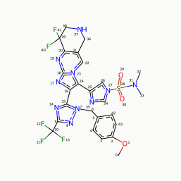 COc1ccc(Cn2nc(C(F)(F)F)nc2-c2nc3nc4c(cn3c2-c2cn(S(=O)(=O)N(C)C)cn2)CNCC4(F)F)cc1